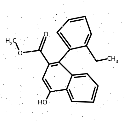 CCc1ccccc1-c1c(C(=O)OC)cc(O)c2ccccc12